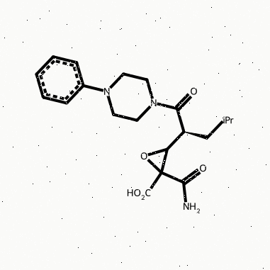 CC(C)C[C@H](C(=O)N1CCN(c2ccccc2)CC1)C1OC1(C(N)=O)C(=O)O